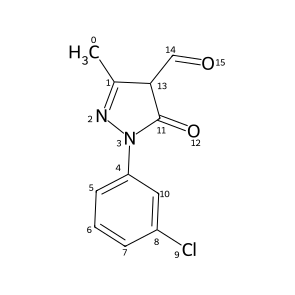 CC1=NN(c2cccc(Cl)c2)C(=O)C1C=O